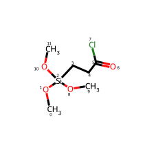 CO[Si](CCC(=O)Cl)(OC)OC